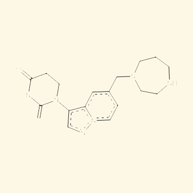 O=C1CCN(c2cnn3ccc(CN4CCCNCC4)cc23)C(=O)N1